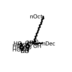 CCCCCCCC/C=C\CCCCCCCCCCCCCCCC(=O)N[C@@H](CO[C@@H]1OC(CO)[C@@H](O[C@@H]2OC(CO)[C@@H](O)[C@H](O)C2O)[C@H](O)C1O)[C@H](O)/C=C/CCCCCCCCCCCCC